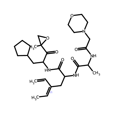 C=C/C(=C\C)CC(NC(=O)C(C)NC(=O)CN1CCOCC1)C(=O)NC(CC1CCCC1)C(=O)C1(C)CO1